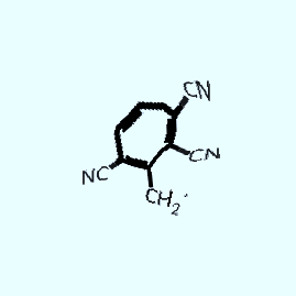 [CH2]c1c(C#N)ccc(C#N)c1C#N